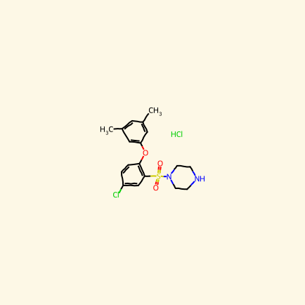 Cc1cc(C)cc(Oc2ccc(Cl)cc2S(=O)(=O)N2CCNCC2)c1.Cl